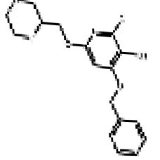 Cc1c(OCc2ccccc2)cc(OCC2COCCO2)nc1Cl